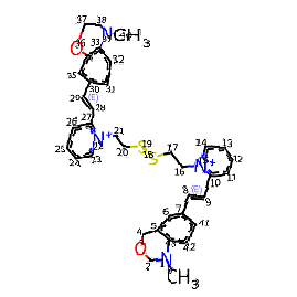 CN1COCc2cc(/C=C/c3cccc[n+]3CCSSCC[n+]3ccccc3/C=C/c3ccc4c(c3)OCCN4C)ccc21